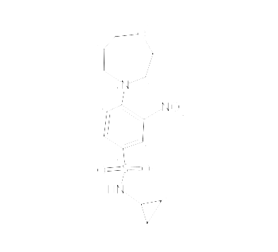 O=[N+]([O-])c1cc(S(=O)(=O)NC2CC2)ccc1N1CCCOCC1